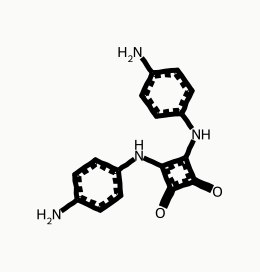 Nc1ccc(Nc2c(Nc3ccc(N)cc3)c(=O)c2=O)cc1